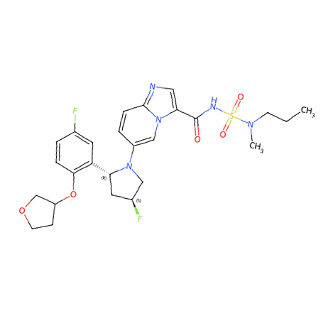 CCCN(C)S(=O)(=O)NC(=O)c1cnc2ccc(N3C[C@@H](F)C[C@@H]3c3cc(F)ccc3OC3CCOC3)cn12